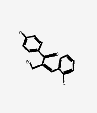 O=C(/C(=C\c1ccccc1Cl)CBr)c1ccc(Cl)cc1